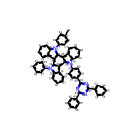 Cc1ccc(-n2c3ccccc3c3c4c(c5ccccc5n4-c4ccccc4)c4c(c5ccccc5n4-c4ccc(-c5nc(-c6ccccc6)nc(-c6ccccc6)n5)cc4)c32)cc1